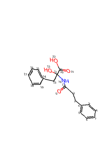 O=C(CCc1ccccc1)NC(O)(Cc1ccccc1)C(=O)O